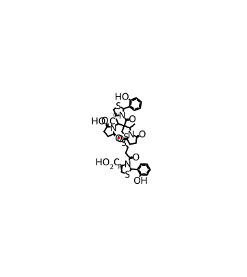 CC(N1C(=O)CCC1=O)C(CSSCCC(=O)N1C(c2ccccc2O)SC[C@H]1C(=O)O)(C(=O)N1C(c2ccccc2O)SC[C@H]1C(=O)O)C(C)N1C(=O)CCC1=O